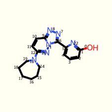 Oc1cccc(-c2nnc3ccc(N4CCCCCC4)nn23)n1